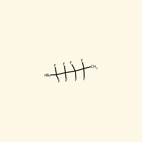 CCCCC(F)(F)C(F)(F)C(F)(F)C(C)(F)F